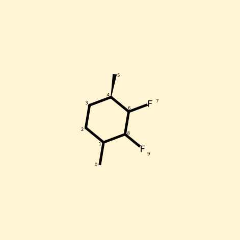 CC1CC[C@@H](C)C(F)C1F